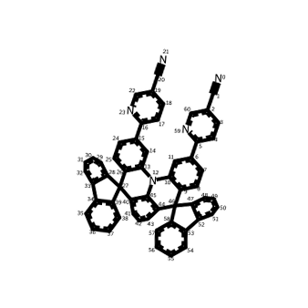 N#Cc1ccc(-c2ccc3c(c2)N2c4cc(-c5ccc(C#N)cn5)ccc4C4(c5ccccc5-c5ccccc54)c4cccc(c42)C32c3ccccc3-c3ccccc32)nc1